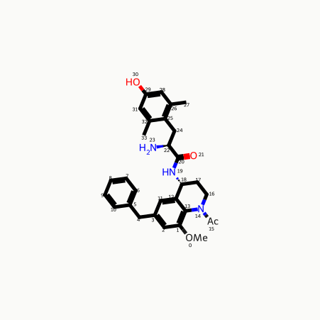 COc1cc(Cc2ccccc2)cc2c1N(C(C)=O)CC[C@H]2NC(=O)[C@@H](N)Cc1c(C)cc(O)cc1C